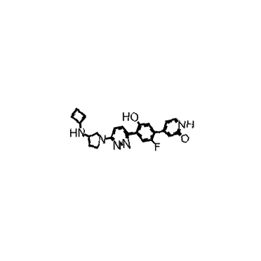 O=c1cc(-c2cc(O)c(-c3ccc(N4CCC(NC5CCC5)C4)nn3)cc2F)cc[nH]1